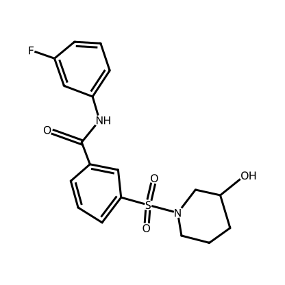 O=C(Nc1cccc(F)c1)c1cccc(S(=O)(=O)N2CCCC(O)C2)c1